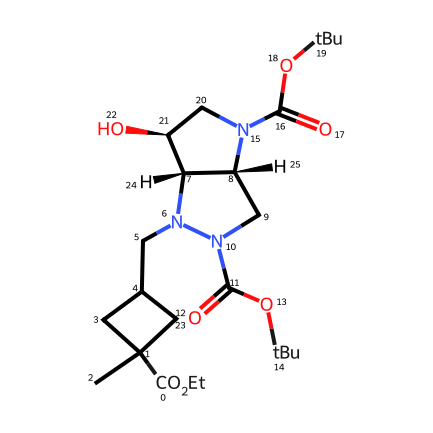 CCOC(=O)C1(C)CC(CN2[C@H]3[C@@H](CN2C(=O)OC(C)(C)C)N(C(=O)OC(C)(C)C)C[C@@H]3O)C1